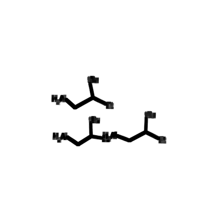 CCC([CH2][AlH2])C(C)(C)C.CCC([CH2][AlH2])C(C)(C)C.CCC([CH2][AlH2])C(C)(C)C